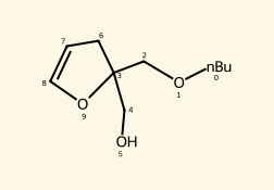 CCCCOCC1(CO)CC=CO1